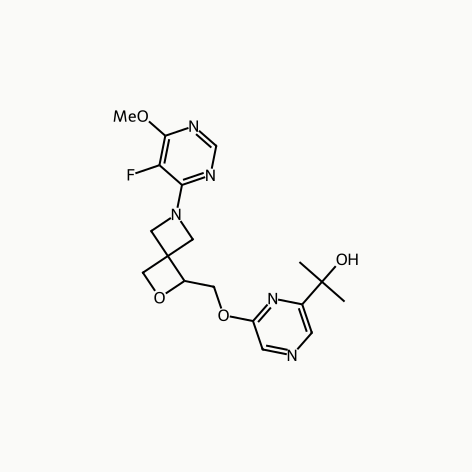 COc1ncnc(N2CC3(COC3COc3cncc(C(C)(C)O)n3)C2)c1F